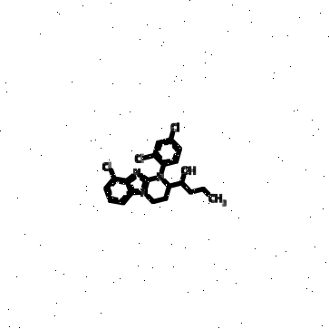 CCCC(O)C1CCn2c(nc3c(Cl)cccc32)N1c1ccc(Cl)cc1Cl